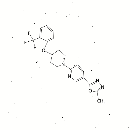 Cc1nnc(-c2ccc(N3CCC(Oc4ccccc4C(F)(F)F)CC3)nc2)o1